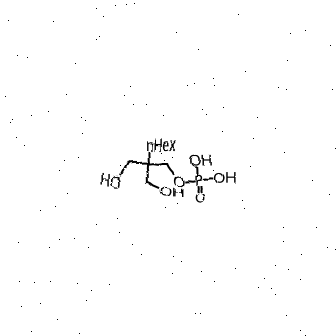 CCCCCCC(CO)(CO)COP(=O)(O)O